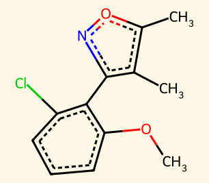 COc1cccc(Cl)c1-c1noc(C)c1C